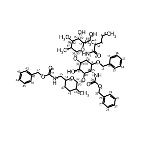 CCC[C@H](C)C(=O)N[C@@H]1C(OCc2ccccc2)[C@H](NC(=O)OCc2ccccc2)C(O[C@H]2OC(CNC(=O)OCc3ccccc3)CCC2C)C(O)[C@H]1O[C@H]1OC(CO)[C@@H](O)[C@H](C)C1C